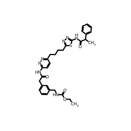 CCOC(=O)NCc1cccc(CC(=O)Nc2ccc(CCCCc3nnc(NC(=O)C(C)c4ccccc4)s3)nn2)c1